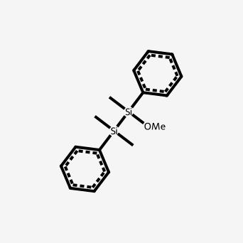 CO[Si](C)(c1ccccc1)[Si](C)(C)c1ccccc1